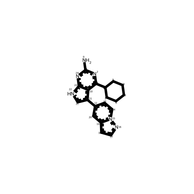 Nc1nc(C2CCCCC2)c2c(-c3ccn4nccc4c3)c[nH]c2n1